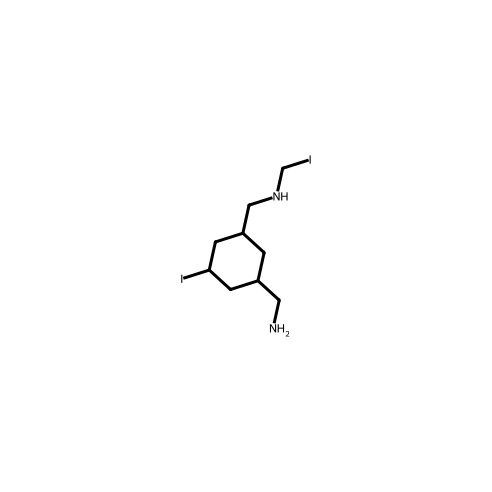 NCC1CC(I)CC(CNCI)C1